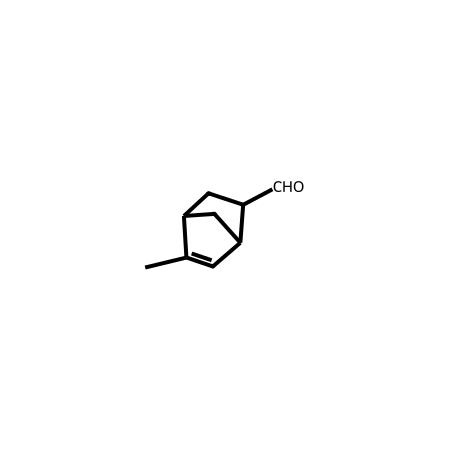 CC1=CC2CC1CC2C=O